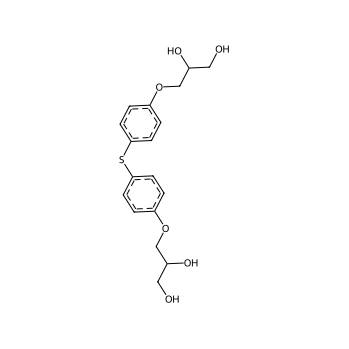 OCC(O)COc1ccc(Sc2ccc(OCC(O)CO)cc2)cc1